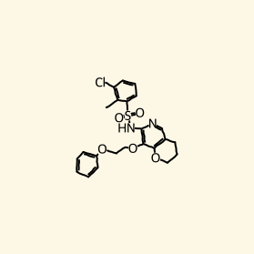 Cc1c(Cl)cccc1S(=O)(=O)Nc1ncc2c(c1OCCOc1ccccc1)OCCC2